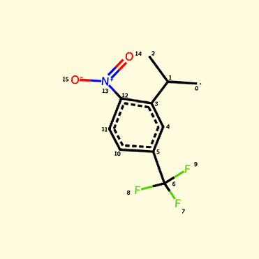 [CH2]C(C)c1cc(C(F)(F)F)ccc1[N+](=O)[O-]